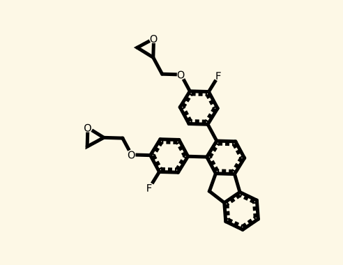 Fc1cc(-c2ccc3c(c2-c2ccc(OCC4CO4)c(F)c2)Cc2ccccc2-3)ccc1OCC1CO1